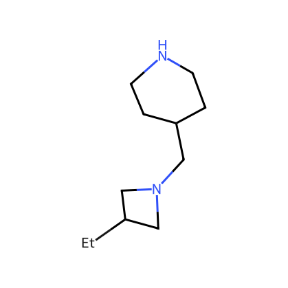 CCC1CN(CC2CCNCC2)C1